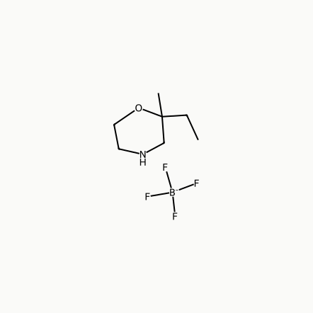 CCC1(C)CNCCO1.F[B-](F)(F)F